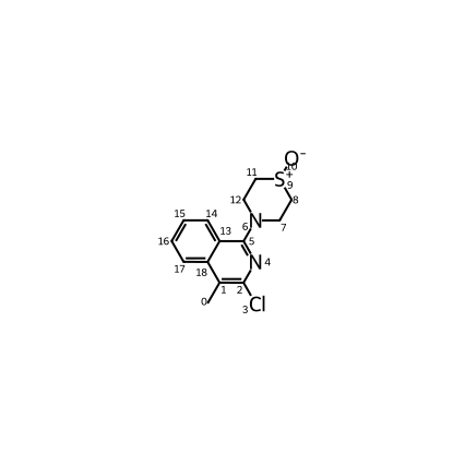 Cc1c(Cl)nc(N2CC[S+]([O-])CC2)c2ccccc12